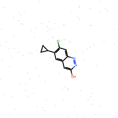 Oc1cc2cc(C3CC3)c(Cl)cc2nn1